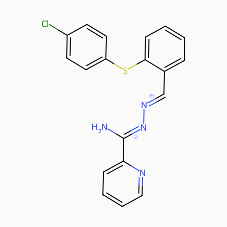 N/C(=N\N=C\c1ccccc1Sc1ccc(Cl)cc1)c1ccccn1